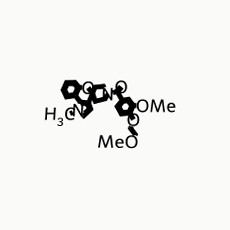 COCCOc1ccc(C(=O)N2CCC3(CC2)Oc2ccccc2-c2c3ccn2C)cc1OC